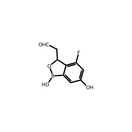 O=CCC1OB(O)c2cc(O)cc(F)c21